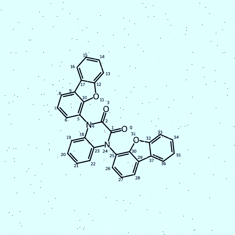 O=c1c(=O)n(-c2cccc3c2oc2ccccc23)c2ccccc2n1-c1cccc2c1oc1ccccc12